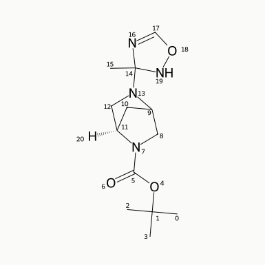 CC(C)(C)OC(=O)N1CC2C[C@@H]1CN2C1(C)N=CON1